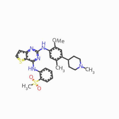 COc1cc(C2CCN(C)CC2)c(C)cc1Nc1nc(Nc2ccccc2S(C)(=O)=O)c2sccc2n1